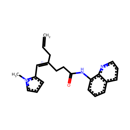 C=CC/C(=C/c1cccn1C)CCC(=O)Nc1cccc2cccnc12